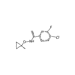 C=C(NOC1(C)CC1)c1ccc(Cl)c(F)c1